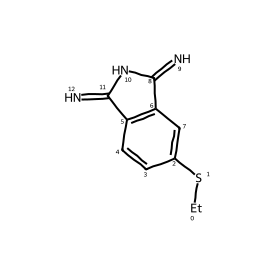 CCSc1ccc2c(c1)C(=N)NC2=N